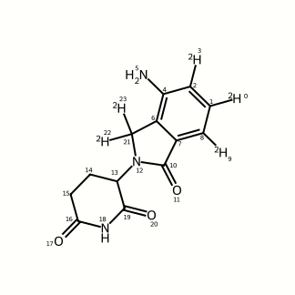 [2H]c1c([2H])c(N)c2c(c1[2H])C(=O)N(C1CCC(=O)NC1=O)C2([2H])[2H]